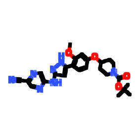 COc1cc(OC2CCN(C(=O)OC(C)(C)C)CC2)ccc1-c1cc(Nc2cnc(C#N)cn2)n[nH]1